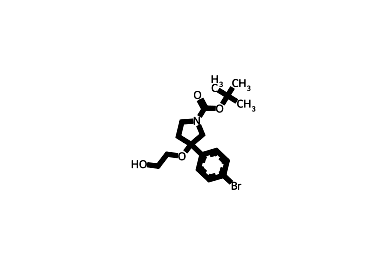 CC(C)(C)OC(=O)N1CCC(OCCO)(c2ccc(Br)cc2)C1